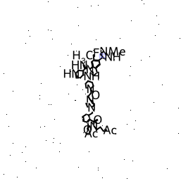 CN/C=C(\C=N)c1cc2c(cc1C(C)F)N(C(=N)C1CNCCC1NC1CCN(C(=O)CN3CCN(CC4CC=CC5=C4C(=O)N(C(CCC(C)=O)C(C)=O)C5=O)CC3)CC1)CCC2